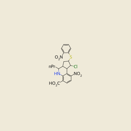 CCCC1Nc2c(C(=O)O)ccc([N+](=O)[O-])c2C2C(Cl)C(Sc3ccccc3[N+](=O)[O-])CC12